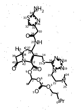 CC(C)CCOC(=O)OC(C)OC(=O)C1=C(CSc2nnnn2CCN(C)C)C(NC(=O)Cc2csc(N)n2)S[C@@H]2CC(=O)N12